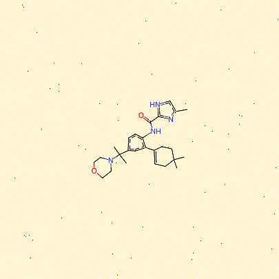 Cc1c[nH]c(C(=O)Nc2ccc(C(C)(C)N3CCOCC3)cc2C2=CCC(C)(C)CC2)n1